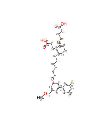 COCc1cc(OCCCCCCc2cccc(OCCCC(=O)O)c2CCC(=O)O)cc(-c2cc(F)cc(F)c2)c1